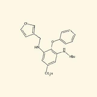 CCCCNc1cc(C(=O)O)cc(NCc2ccoc2)c1Oc1ccccc1